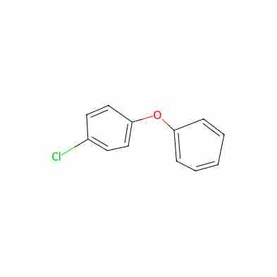 Clc1ccc(Oc2ccccc2)cc1